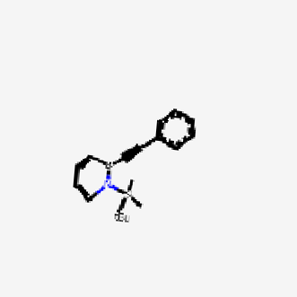 CC(C)(C)[Si](C)(C)N1C=CC=CB1C#Cc1ccccc1